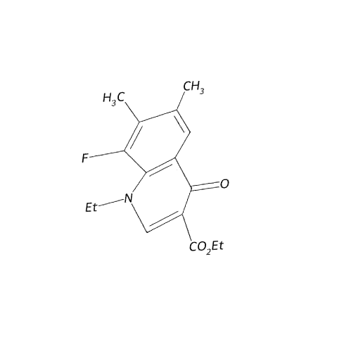 CCOC(=O)c1cn(CC)c2c(F)c(C)c(C)cc2c1=O